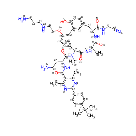 Cc1nc(-c2ccc(C(C)(C)C)cc2)nc(C)c1C(=O)NC(CCN)C(=O)N(C)C1C(=O)NC(C)C(=O)NC(C(=O)NCC#N)Cc2ccc(O)c(c2)-c2cc1ccc2OCCNCCCN